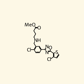 COC(=O)CCCNCc1cc(-c2noc(-c3sccc3Cl)n2)ccc1Cl